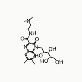 Cc1cc2nc(C(=O)NCCN(C)C)c(=O)n(C[C@H](O)[C@H](O)[C@H](O)CO)c2cc1C